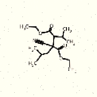 CCOC(=O)C(C(C)C)C(C#N)(CC(C)C)C(=O)OCC